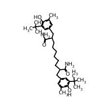 Cc1cc(CC(CCCCCCC(Cc2cc(C)c(O)c(C(C)(C)C)c2)C(N)=O)C(N)=O)cc(C(C)(C)C)c1O